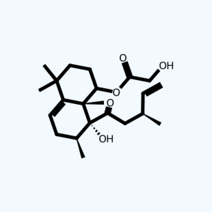 C=C[C@@H](C)CC(=O)[C@@]1(O)[C@@H](C)CC=C2C(C)(C)CCC(OC(=O)CO)[C@@]21C